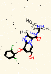 CCC(C)(CNC(=O)c1c(C)nc2c(OCc3c(F)cccc3F)cc(CO)cn12)NC(=O)O